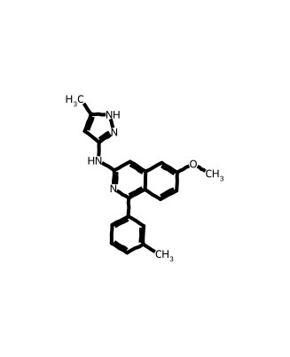 COc1ccc2c(-c3cccc(C)c3)nc(Nc3cc(C)[nH]n3)cc2c1